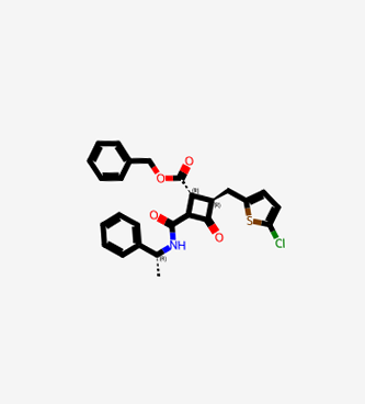 C[C@@H](NC(=O)C1C(=O)[C@H](Cc2ccc(Cl)s2)[C@H]1C(=O)OCc1ccccc1)c1ccccc1